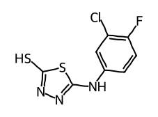 Fc1ccc(Nc2nnc(S)s2)cc1Cl